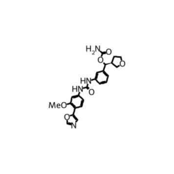 COc1cc(NC(=O)Nc2cccc(C(OC(N)=O)[C@H]3CCOC3)c2)ccc1-c1cnco1